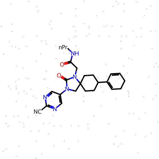 CCCNC(=O)CN1C(=O)N(c2cnc(C#N)nc2)CC12CCC(C1=CCCC=C1)CC2